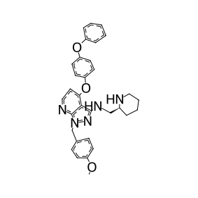 COc1ccc(Cn2nc(NC[C@@H]3CCCCN3)c3c(Oc4ccc(Oc5ccccc5)cc4)ccnc32)cc1